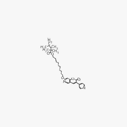 CC(C)C(C)C(C)(C)C(=O)OCCCCCCCCCCOc1cc2oc(=O)c(-c3ccncc3)cc2cn1